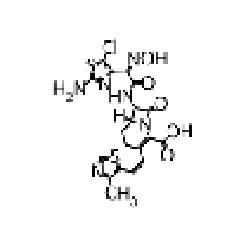 Cc1ncsc1/C=C\C1=C(C(=O)O)N2C(=O)[C@@H](NC(=O)/C(=N\O)c3nc(N)sc3Cl)[C@H]2CC1